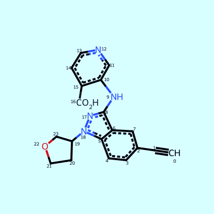 C#Cc1ccc2c(c1)c(Nc1cnccc1C(=O)O)nn2C1CCOC1